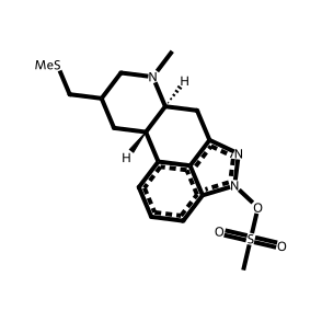 CSCC1C[C@H]2c3cccc4c3c(nn4OS(C)(=O)=O)C[C@@H]2N(C)C1